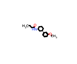 CCCC(=O)N[C@@H]1CCC[C@H](c2cccc(OC)c2)C1